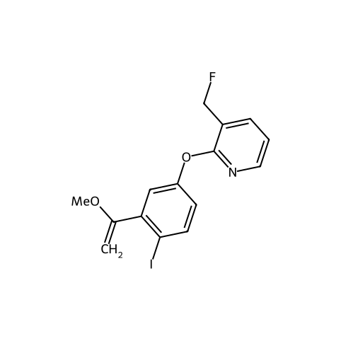 C=C(OC)c1cc(Oc2ncccc2CF)ccc1I